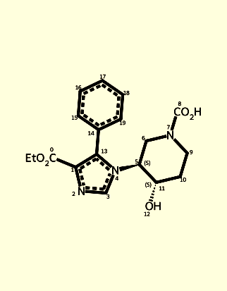 CCOC(=O)c1ncn([C@H]2CN(C(=O)O)CC[C@@H]2O)c1-c1ccccc1